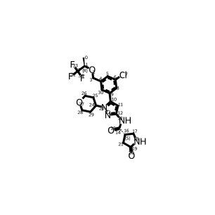 C[C@@H](OCc1cc(Cl)cc(-c2cc(NC(=O)[C@@H]3CNC(=O)C3)nn2C2CCOCC2)c1)C(F)(F)F